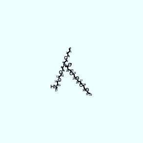 CCCCOCCN(CCOCCOCCNC)C(=O)CCOCCOCCOCCOCC